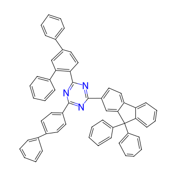 c1ccc(-c2ccc(-c3nc(-c4ccc5c(c4)C(c4ccccc4)(c4ccccc4)c4ccccc4-5)nc(-c4ccc(-c5ccccc5)cc4-c4ccccc4)n3)cc2)cc1